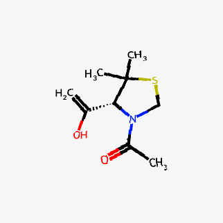 C=C(O)[C@H]1N(C(C)=O)CSC1(C)C